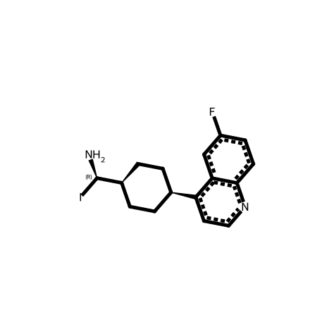 N[C@H](I)[C@H]1CC[C@@H](c2ccnc3ccc(F)cc32)CC1